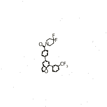 O=C(c1ccc(-c2cc(-c3cccc(C(F)(F)F)c3)c3occc3c2)cc1)N1CCC(F)(F)CC1